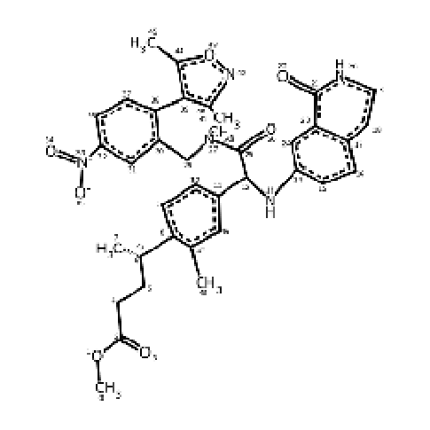 COC(=O)CC[C@H](C)c1ccc(C(Nc2ccc3cc[nH]c(=O)c3c2)C(=O)N(C)Cc2cc([N+](=O)[O-])ccc2-c2c(C)noc2C)cc1C